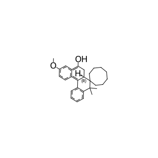 COc1ccc2c(c1)=C(O)C[C@H]1C=2c2ccccc2C(C)(C)C12CCCCCCC2